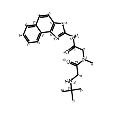 CN(CC(=O)Nc1nc2c(ccc3ccccc32)s1)C(=O)CNC(C)(C)C